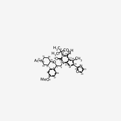 COc1ccc(C(Cn2c(=O)n(C(C)(C)C(=O)O)c(=O)c3c(C)c(-c4ncco4)sc32)OC2CCN(C(C)=O)CC2)cc1